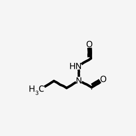 CCCN([C]=O)NC=O